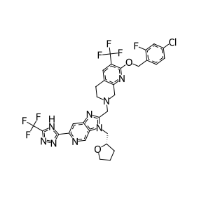 Fc1cc(Cl)ccc1COc1nc2c(cc1C(F)(F)F)CCN(Cc1nc3cc(-c4nnc(C(F)(F)F)[nH]4)ncc3n1C[C@@H]1CCCO1)C2